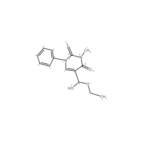 CCOC(O)c1cn(-c2ccccc2)c(=S)n(C)c1=O